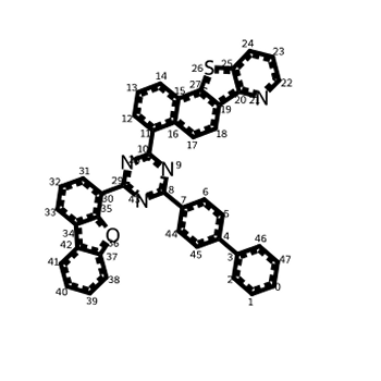 c1ccc(-c2ccc(-c3nc(-c4cccc5c4ccc4c6ncccc6sc54)nc(-c4cccc5c4oc4ccccc45)n3)cc2)cc1